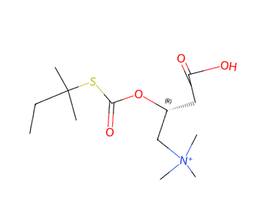 CCC(C)(C)SC(=O)O[C@H](CC(=O)O)C[N+](C)(C)C